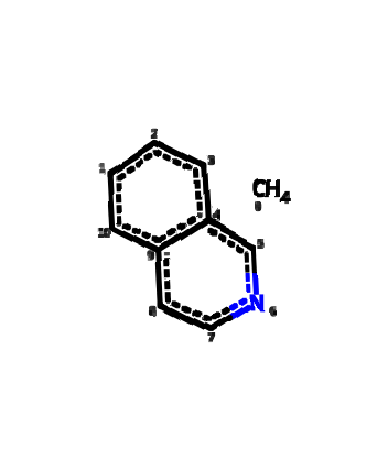 C.c1ccc2cnccc2c1